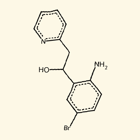 Nc1ccc(Br)cc1C(O)Cc1ccccn1